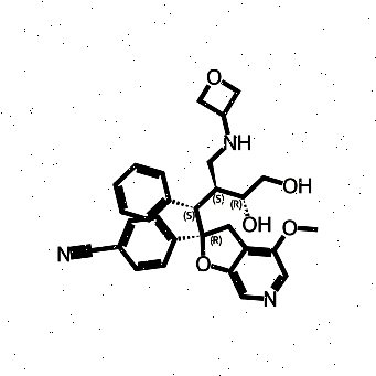 COc1cncc2c1C[C@](c1ccc(C#N)cc1)([C@H](c1ccccc1)[C@@H](CNC1COC1)[C@@H](O)CO)O2